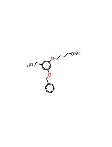 COCCCCOc1cc(OCc2ccccc2)cc(C(=O)O)c1